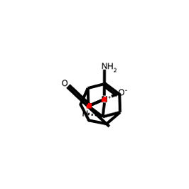 NN1C(=O)[C@]23C4C=CC(CCC4)[C@@H]2[N+]13[O-]